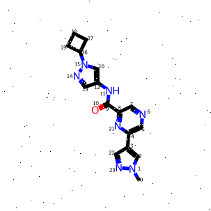 Cn1cc(-c2cncc(C(=O)Nc3cnn(C4CCC4)c3)n2)cn1